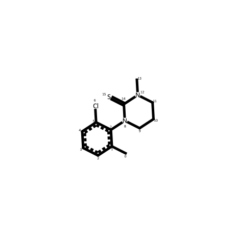 Cc1cccc(Cl)c1N1CCCN(C)C1=S